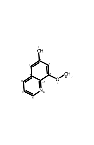 COc1cc(C)cc2cccnc12